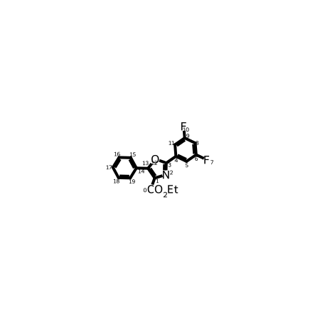 CCOC(=O)c1nc(-c2cc(F)cc(F)c2)oc1-c1ccccc1